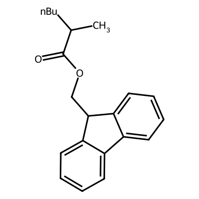 CCCCC(C)C(=O)OCC1c2ccccc2-c2ccccc21